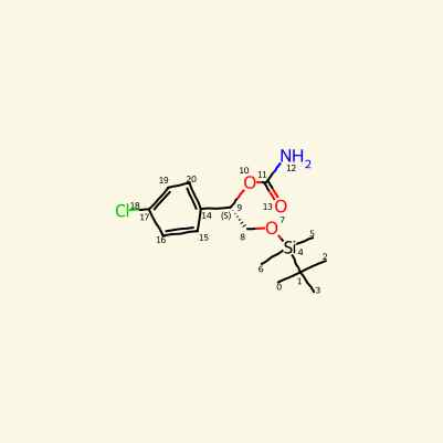 CC(C)(C)[Si](C)(C)OC[C@@H](OC(N)=O)c1ccc(Cl)cc1